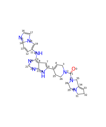 O=C(N1CC=C(c2cc3c(Nc4ccc5nccn5c4)ncnc3[nH]2)CC1)N1CCN2CCC=C2C1